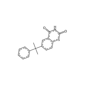 CC(C)(c1ccccc1)c1ccc2sc(=O)[nH]c(=O)c2c1